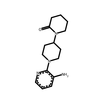 Nc1cccnc1N1CCC(N2CCCCC2=O)CC1